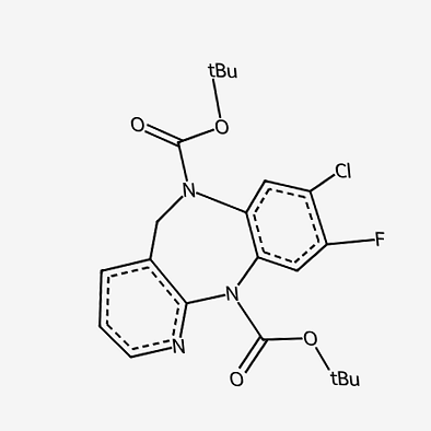 CC(C)(C)OC(=O)N1Cc2cccnc2N(C(=O)OC(C)(C)C)c2cc(F)c(Cl)cc21